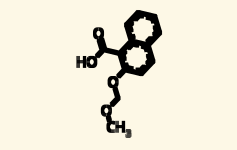 COCOc1ccc2ccccc2c1C(=O)O